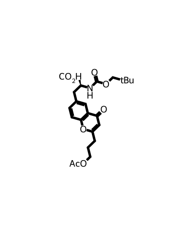 CC(=O)OCCCc1cc(=O)c2cc(C[C@H](NC(=O)OCC(C)(C)C)C(=O)O)ccc2o1